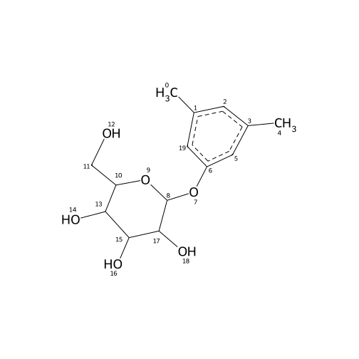 Cc1cc(C)cc(OC2OC(CO)C(O)C(O)C2O)c1